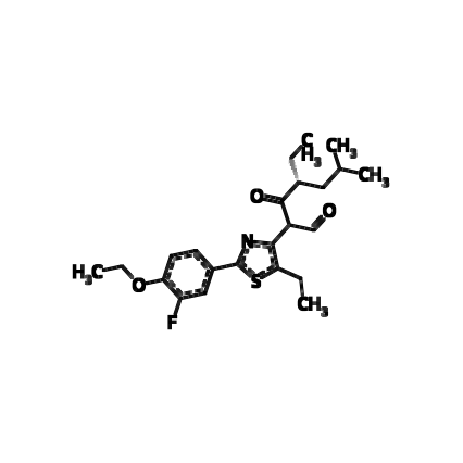 CCOc1ccc(-c2nc(C(C=O)C(=O)[C@H](CC)CC(C)C)c(CC)s2)cc1F